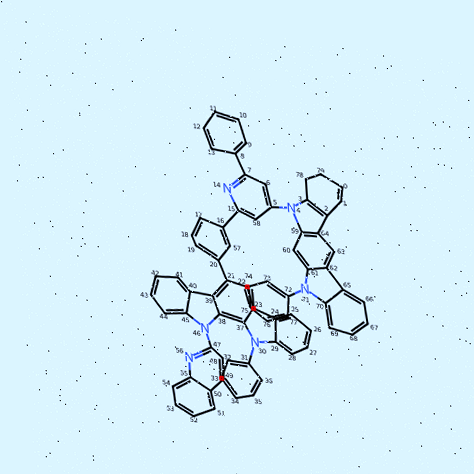 C1=Cc2c(n(-c3cc(-c4ccccc4)nc(-c4cccc(-c5cc6c7ccccc7n(-c7ccccc7)c6c6c5c5ccccc5n6-c5ccc6ccccc6n5)c4)c3)c3cc4c(cc23)c2ccccc2n4-c2ccccc2)CC1